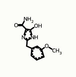 COc1cccc(Cc2nc(C(N)=O)c(O)[nH]2)c1